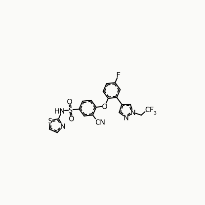 N#Cc1cc(S(=O)(=O)Nc2nccs2)ccc1Oc1ccc(F)cc1-c1cnn(CC(F)(F)F)c1